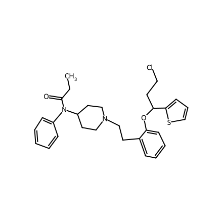 CCC(=O)N(c1ccccc1)C1CCN(CCc2ccccc2OC(CCCl)c2cccs2)CC1